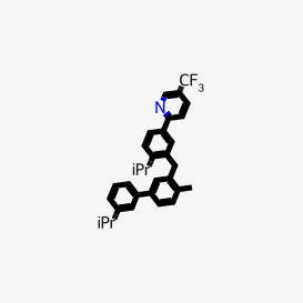 Cc1ccc(-c2cccc(C(C)C)c2)cc1Cc1cc(-c2ccc(C(F)(F)F)cn2)ccc1C(C)C